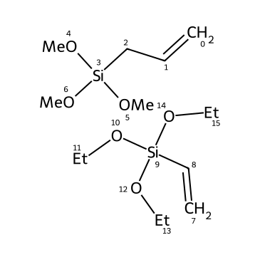 C=CC[Si](OC)(OC)OC.C=C[Si](OCC)(OCC)OCC